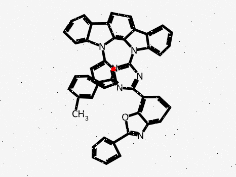 Cc1cccc(-c2nc(-c3cccc4nc(-c5ccccc5)oc34)nc(-n3c4ccccc4c4ccc5c6ccccc6n(-c6ccccc6)c5c43)n2)c1